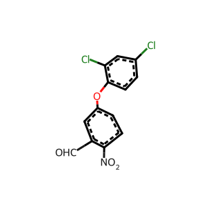 O=Cc1cc(Oc2ccc(Cl)cc2Cl)ccc1[N+](=O)[O-]